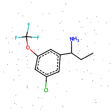 CCC(N)c1cc(Cl)cc(OC(F)(F)F)c1